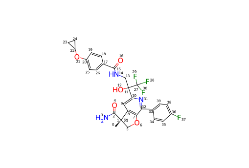 C[C@]1(C(N)=O)COc2c1cc(C(O)(CNC(=O)c1ccc(OC3CC3)cc1)C(F)(F)F)nc2-c1ccc(F)cc1